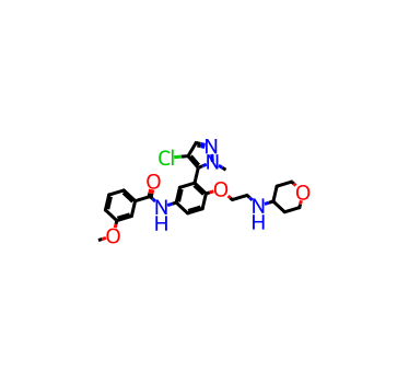 COc1cccc(C(=O)Nc2ccc(OCCNC3CCOCC3)c(-c3c(Cl)cnn3C)c2)c1